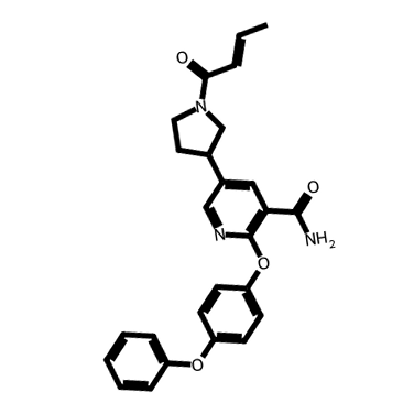 C/C=C/C(=O)N1CCC(c2cnc(Oc3ccc(Oc4ccccc4)cc3)c(C(N)=O)c2)C1